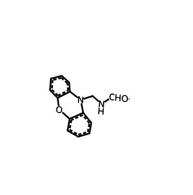 O=[C]NCN1c2ccccc2Oc2ccccc21